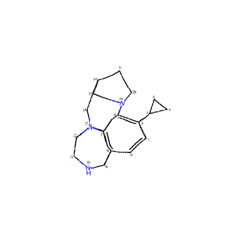 c1cc(C2CC2)c2c3c1CNCCN3CC1CCCN21